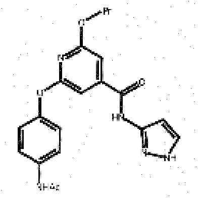 CC(=O)Nc1ccc(Oc2cc(C(=O)Nc3cc[nH]n3)cc(OC(C)C)n2)cc1